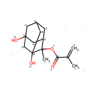 C=C(C)C(=O)OC1(C)C2CC3CC(O)(C2)CC1(O)C3